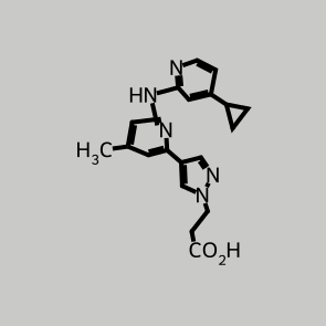 Cc1cc(Nc2cc(C3CC3)ccn2)nc(-c2cnn(CCC(=O)O)c2)c1